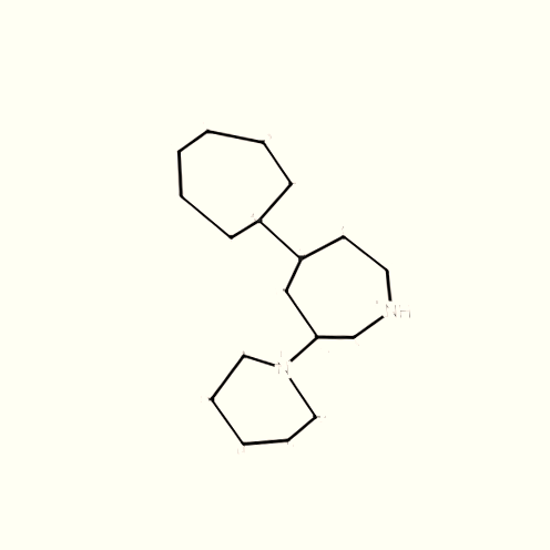 C1CCCC(C2CCNCC(N3CCCCC3)C2)CC1